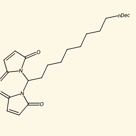 CCCCCCCCCCCCCCCCCCC(N1C(=O)C=CC1=O)N1C(=O)C=CC1=O